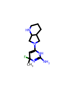 CC1(F)C=C(N2CC3CCCNC3C2)NC(N)=N1